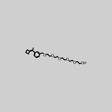 CC(=C1CCC1)c1cccc(COCCOCCOCCOCCOCCO)c1